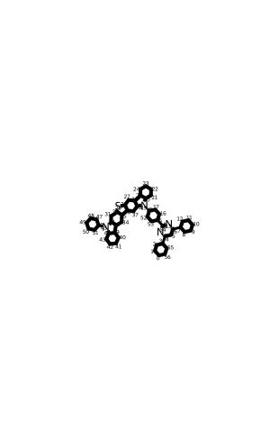 c1ccc(-c2cc(-c3ccccc3)nc(-c3ccc(-n4c5ccccc5c5cc6sc7cc8c(cc7c6cc54)c4ccccc4n8-c4ccccc4)cc3)n2)cc1